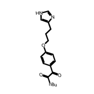 CCCCC(=O)C(=O)c1ccc(OCCCc2c[nH]cn2)cc1